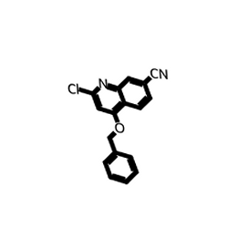 N#Cc1ccc2c(OCc3ccccc3)cc(Cl)nc2c1